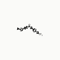 O=C(N1CC(c2cnc(N3CC(C(F)(F)F)C3)nc2)C1)N1CC2(CC(n3cnc(C4CC4)n3)C2)C1